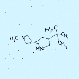 CN1CC(N2CC(C(C)(C)C)CN2)C1